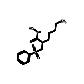 CCCCCC(CS(=O)(=O)c1ccccc1)C(=O)NO